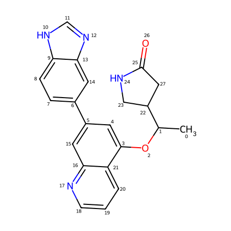 CC(Oc1cc(-c2ccc3[nH]cnc3c2)cc2ncccc12)C1CNC(=O)C1